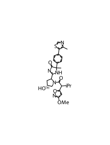 COc1cc(C(C(=O)N2C[C@H](O)CC2C2=NC(=O)C(C)(c3ccc(-c4scnc4C)cc3)N2)C(C)C)on1